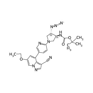 CCOc1cc(-c2ccc(N3C[C@H](N=[N+]=[N-])[C@@H](NC(=O)OC(C)(C)C)C3)nc2)c2c(C#N)cnn2c1